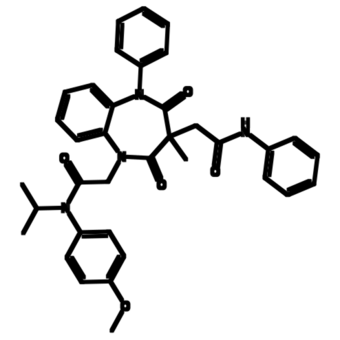 COc1ccc(N(C(=O)CN2C(=O)C(C)(CC(=O)Nc3ccccc3)C(=O)N(c3ccccc3)c3ccccc32)C(C)C)cc1